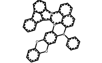 c1ccc(B2c3cc4c(cc3-n3c5c2ccc2cccc(c25)n2c5cccc6c7ccccc7c(c65)c32)Oc2ccccc2O4)cc1